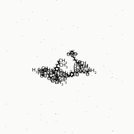 C/C=C(\C)Cc1cc(OC)c(Cl)c(N(C)C(=O)C[C@H](OC(=O)[C@H](C)N(C)C(=O)CCN(C)C(=O)OCc2ccc(NC(=O)[C@H](CCCNC(N)=O)NC(=O)[C@@H](NC(=O)CCCCCN3C(=O)C=CC3=O)C(C)C)cc2)[C@]2(C)O[C@H]2[C@H](C)[C@@H]2C[C@](O)([C@@H](C)OC)NC(=O)O2)c1